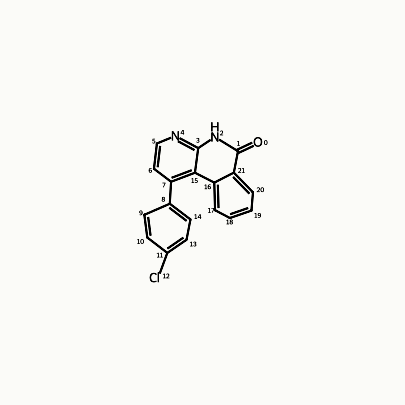 O=c1[nH]c2nccc(-c3ccc(Cl)cc3)c2c2ccccc12